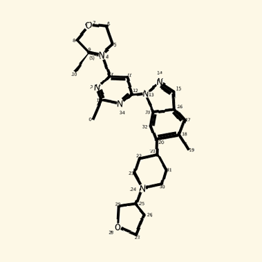 Cc1nc(N2CCOC[C@@H]2C)cc(-n2ncc3cc(C)c(C4CCN(C5CCOC5)CC4)cc32)n1